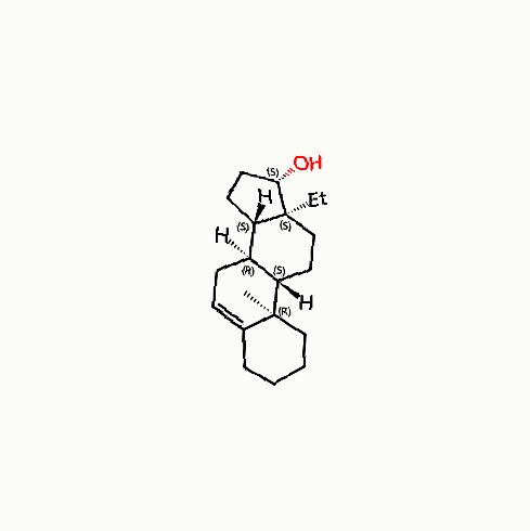 CC[C@]12CC[C@H]3[C@@H](CC=C4CCCC[C@@]43C)[C@@H]1CC[C@@H]2O